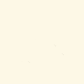 CC(=O)N1CCCC1Cc1cc(Nc2ccc(C(F)(F)F)cn2)ccc1Oc1ccc(S(C)(=O)=O)cc1